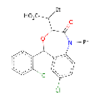 CCC(C(=O)O)C1OC(c2ccccc2Cl)c2cc(Cl)ccc2N(C(C)C)C1=O